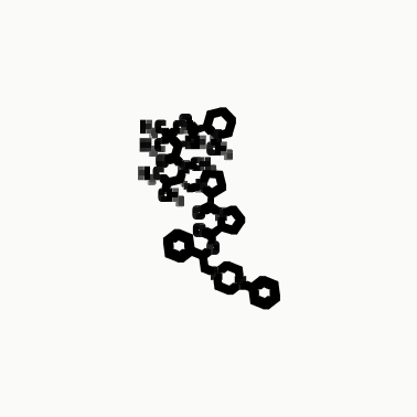 CC(C)[C@@H](CN1CCC[C@H]1C(=O)N1CCC[C@H]1C(=O)OC(CN1CCN(c2ccccc2)CC1)c1ccccc1)N(C)C(=O)[C@@H](NC(=O)[C@H]1CCCCN1C)C(C)(C)C